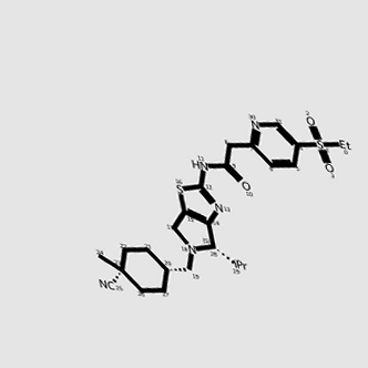 CCS(=O)(=O)c1ccc(CC(=O)Nc2nc3c(s2)CN(C[C@H]2CC[C@@](C)(C#N)CC2)[C@H]3C(C)C)nc1